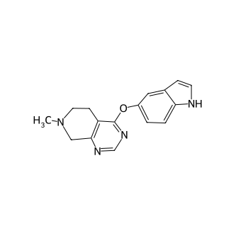 CN1CCc2c(ncnc2Oc2ccc3[nH]ccc3c2)C1